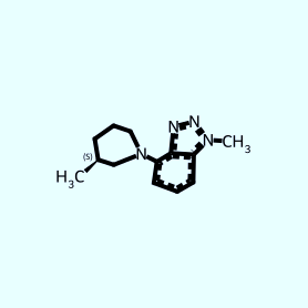 C[C@H]1CCCN(c2cccc3c2nnn3C)C1